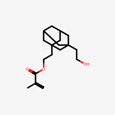 C=C(C)C(=O)OCCC12CC3CC(CC(CCO)(C3)C1)C2